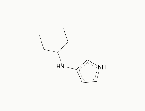 CCC(CC)Nc1cc[nH]c1